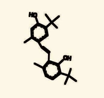 Cc1cc(O)c(C(C)(C)C)cc1C=Cc1c(C)ccc(C(C)(C)C)c1O